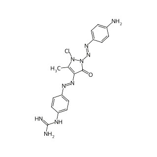 Cc1c(N=Nc2ccc(NC(=N)N)cc2)c(=O)n(N=Nc2ccc(N)cc2)n1Cl